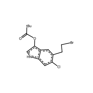 CC(C)(C)C(=O)Oc1c[nH]c2cc(Cl)c(CCBr)cc12